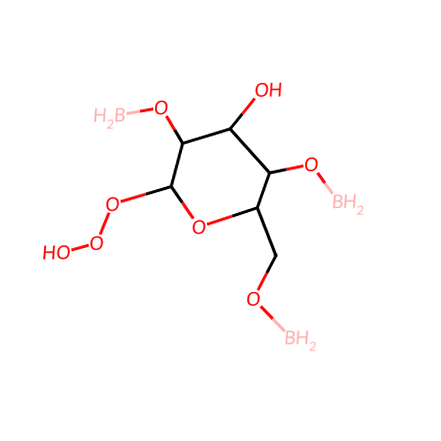 BOCC1OC(OOO)C(OB)C(O)C1OB